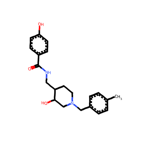 Cc1ccc(CN2CCC(CNC(=O)c3ccc(O)cc3)C(O)C2)cc1